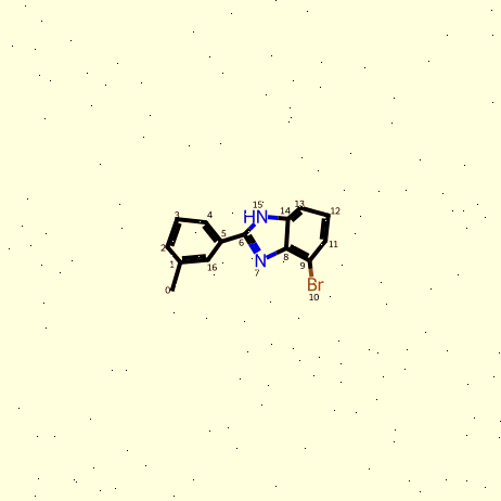 Cc1cccc(-c2nc3c(Br)cccc3[nH]2)c1